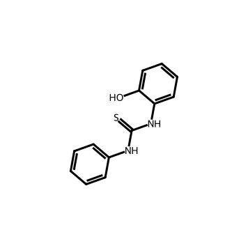 Oc1ccccc1NC(=S)Nc1ccccc1